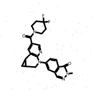 Cn1ncc2cc(N3CC4CC4c4cc(C(=O)N5CCC(F)(F)CC5)cnc43)ccc2c1=O